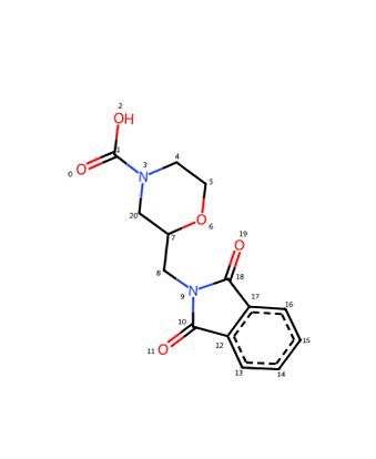 O=C(O)N1CCOC(CN2C(=O)c3ccccc3C2=O)C1